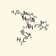 Cc1nc(NCc2ncc(C)s2)c2c(ccn2Cc2ccccn2)n1